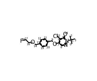 CC(C)(C)n1ncc(OCc2ccc(COCCF)cc2)c(Cl)c1=O